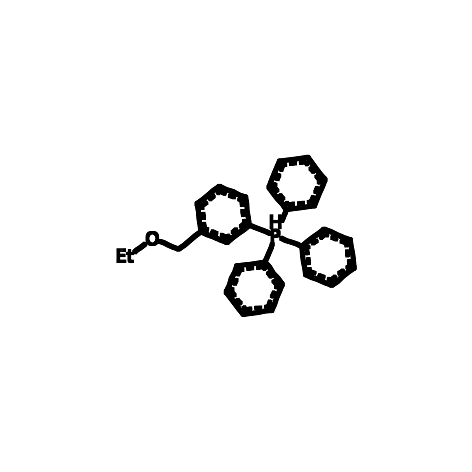 CCOCc1cccc([PH](c2ccccc2)(c2ccccc2)c2ccccc2)c1